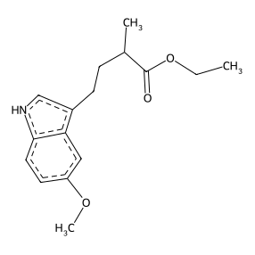 CCOC(=O)C(C)CCc1c[nH]c2ccc(OC)cc12